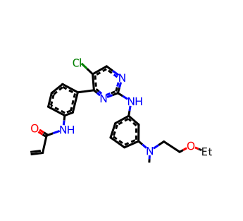 C=CC(=O)Nc1cccc(-c2nc(Nc3cccc(N(C)CCOCC)c3)ncc2Cl)c1